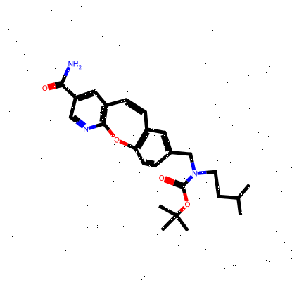 CC(C)CCN(Cc1ccc2c(c1)C=Cc1cc(C(N)=O)cnc1O2)C(=O)OC(C)(C)C